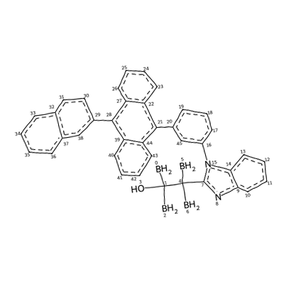 BC(B)(O)C(B)(B)c1nc2ccccc2n1-c1cccc(-c2c3ccccc3c(-c3ccc4ccccc4c3)c3ccccc23)c1